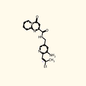 CC/C(C)=C/c1ncc(CNC(=O)c2cc(=O)n3ccccc3n2)cc1N